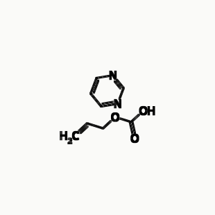 C=CCOC(=O)O.c1cncnc1